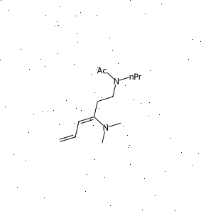 C=C/C=C(/CCN(CCC)C(C)=O)N(C)C